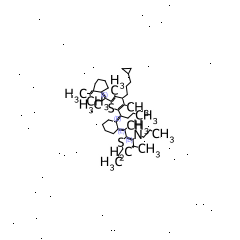 C=C(C)/C(NCCC)=C(SCCC)/C(C)=C1\CCCC\C1=C(\CCC)C1=C(C)C(CCCC2CC2)C(C)=C(/C(C)=C2\CCCCC2=C(C)C)S1